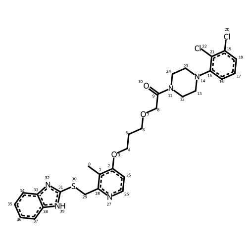 Cc1c(OCCCOCC(=O)N2CCN(c3cccc(Cl)c3Cl)CC2)ccnc1CSc1nc2ccccc2[nH]1